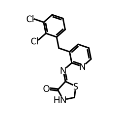 O=C1NCSC1=Nc1ncccc1Cc1cccc(Cl)c1Cl